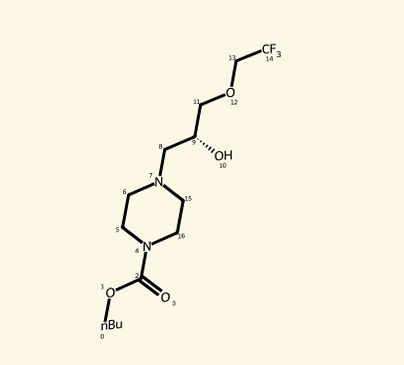 CCCCOC(=O)N1CCN(C[C@@H](O)COCC(F)(F)F)CC1